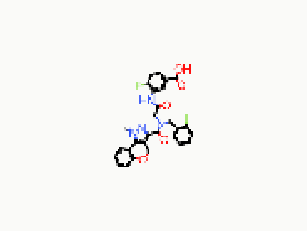 Cn1nc(C(=O)N(CC(=O)Nc2cc(C(=O)O)ccc2F)Cc2ccccc2F)c2c1-c1ccccc1OC2